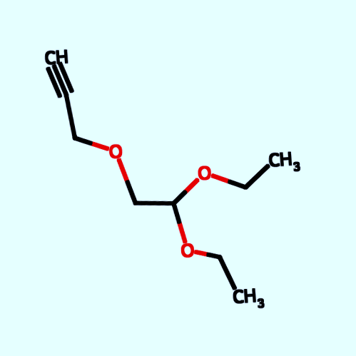 C#CCOCC(OCC)OCC